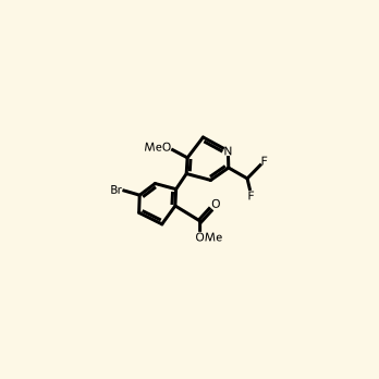 COC(=O)c1ccc(Br)cc1-c1cc(C(F)F)ncc1OC